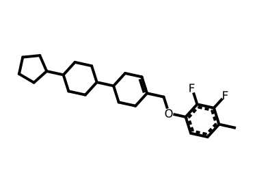 Cc1ccc(OCC2=CCC(C3CCC(C4CCCC4)CC3)CC2)c(F)c1F